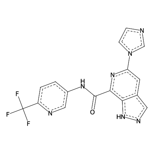 O=C(Nc1ccc(C(F)(F)F)nc1)c1nc(-n2ccnc2)cc2cn[nH]c12